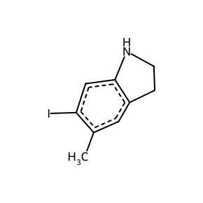 Cc1cc2c(cc1I)NCC2